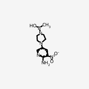 CB(O)N1CCN(c2cnc(N)c([N+](=O)[O-])c2)CC1